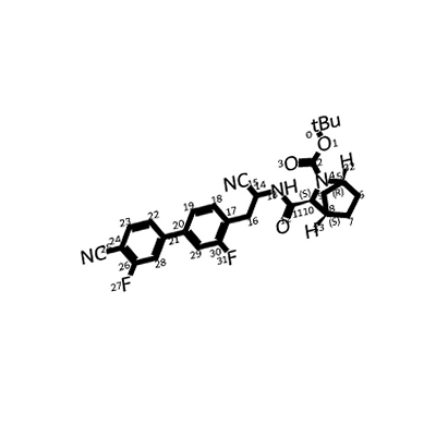 CC(C)(C)OC(=O)N1[C@@H]2CC[C@@H](C2)[C@H]1C(=O)NC(C#N)Cc1ccc(-c2ccc(C#N)c(F)c2)cc1F